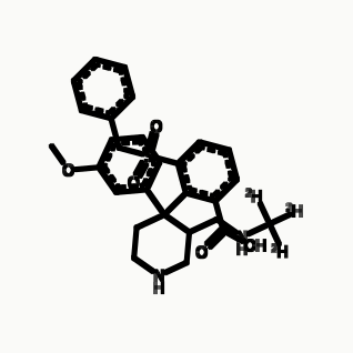 [2H]C([2H])([2H])NCC1CNCCC1(c1cccc(OC)c1)c1c(C(=O)O)cccc1S(=O)(=O)Cc1ccccc1